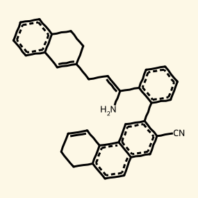 N#Cc1cc2ccc3c(c2cc1-c1ccccc1/C(N)=C/CC1=Cc2ccccc2CC1)C=CCC3